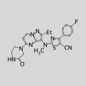 CCc1nn2ccc(N3CCNC(=O)C3)nc2c1N(C)c1nc(-c2ccc(F)cc2)c(C#N)s1